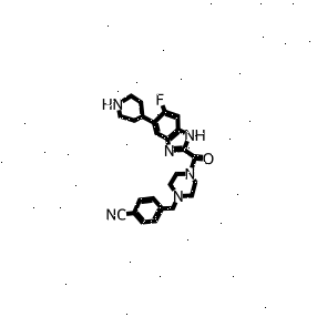 N#Cc1ccc(CN2CCN(C(=O)c3nc4cc(C5CCNCC5)c(F)cc4[nH]3)CC2)cc1